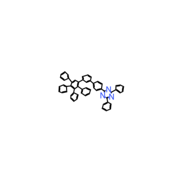 c1ccc(-c2nc(-c3ccccc3)nc(-c3ccc(-c4cccc(-c5cc(-c6ccccc6)c(-c6ccccc6)c(-c6ccccc6)c5-c5ccccc5)c4)cc3)n2)cc1